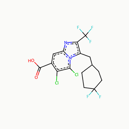 O=C(O)c1cc2nc(C(F)(F)F)c(CC3CCC(F)(F)CC3)n2c(Cl)c1Cl